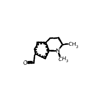 CC1CCc2ccc(C=O)cc2N1C